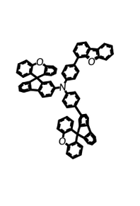 c1ccc2c(c1)Oc1ccccc1C21c2ccccc2-c2ccc(-c3ccc(N(c4ccc(-c5cccc6c5oc5ccccc56)cc4)c4ccc5c(c4)C4(c6ccccc6Oc6ccccc64)c4ccccc4-5)cc3)cc21